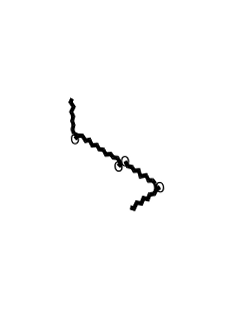 CCCCCCCCC1OC1CCCCCCCCCCCC(=O)OCCCCCCCCC1OC1CCCCCCCC